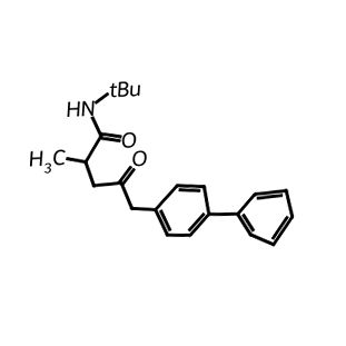 CC(CC(=O)Cc1ccc(-c2ccccc2)cc1)C(=O)NC(C)(C)C